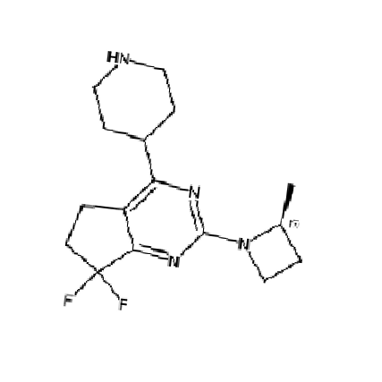 C[C@H]1CCN1c1nc(C2CCNCC2)c2c(n1)C(F)(F)CC2